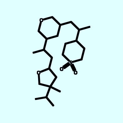 CC(CC1COCC(C(C)CC2CC(C)(C(C)C)CO2)C1)C1CCS(=O)(=O)CC1